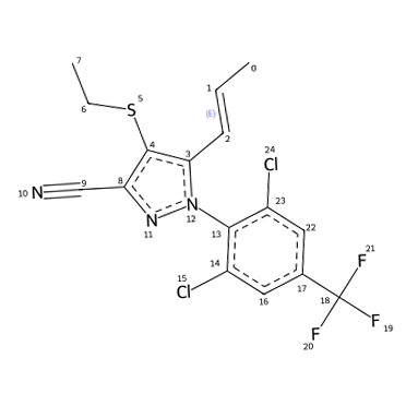 C/C=C/c1c(SCC)c(C#N)nn1-c1c(Cl)cc(C(F)(F)F)cc1Cl